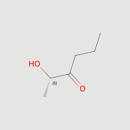 CCCC(=O)[C@H](C)O